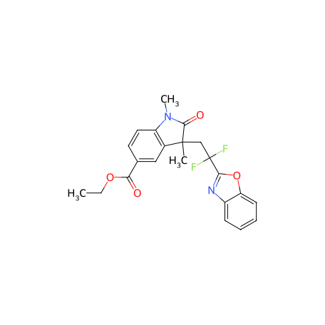 CCOC(=O)c1ccc2c(c1)C(C)(CC(F)(F)c1nc3ccccc3o1)C(=O)N2C